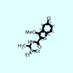 CCN(CC)C(C)NC(=O)c1sc2ccc(Cl)cc2c1OC